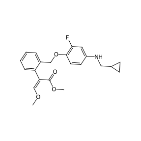 CO/C=C(\C(=O)OC)c1ccccc1COc1ccc(NCC2CC2)cc1F